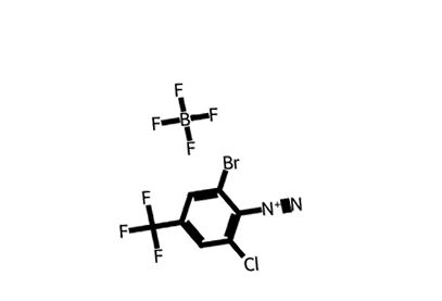 F[B-](F)(F)F.N#[N+]c1c(Cl)cc(C(F)(F)F)cc1Br